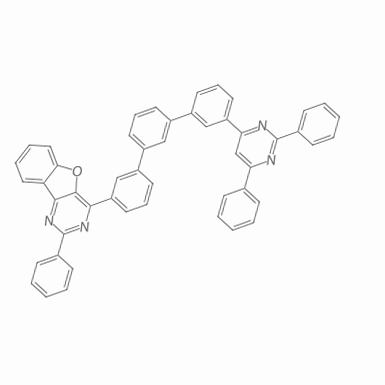 c1ccc(-c2cc(-c3cccc(-c4cccc(-c5cccc(-c6nc(-c7ccccc7)nc7c6oc6ccccc67)c5)c4)c3)nc(-c3ccccc3)n2)cc1